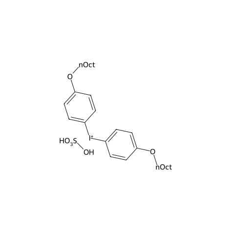 CCCCCCCCOc1ccc([I+]c2ccc(OCCCCCCCC)cc2)cc1.O=S(=O)(O)O